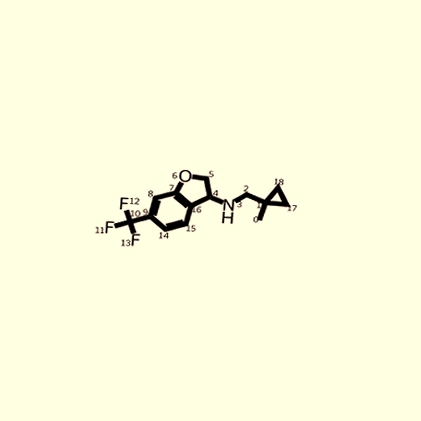 CC1(CNC2COc3cc(C(F)(F)F)ccc32)CC1